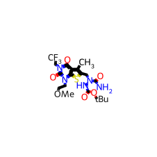 COCCn1c(=O)n(CC(F)(F)F)c(=O)c2c(C)c(CN(NC(=O)OC(C)(C)C)C(N)=O)sc21